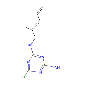 C=C/C=C(\C)CNc1nc(N)nc(Cl)n1